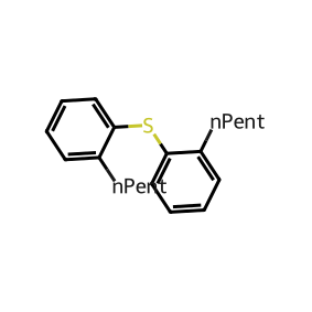 CCCCCc1ccccc1Sc1ccccc1CCCCC